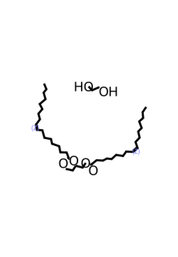 CCCCCCCC/C=C\CCCCCCCC(=O)OCC(CC)OC(=O)CCCCCCC/C=C\CCCCCCCC.OCCO